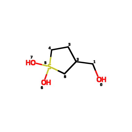 OCC1CCS(O)(O)C1